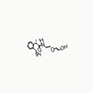 CC(C)Cc1ccccc1[C@@H](C)C(=O)NCCOCCO